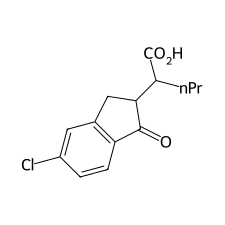 CCCC(C(=O)O)C1Cc2cc(Cl)ccc2C1=O